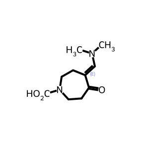 CN(C)/C=C1\CCN(C(=O)O)CCC1=O